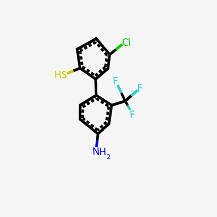 Nc1ccc(-c2cc(Cl)ccc2S)c(C(F)(F)F)c1